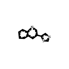 c1ccc2ncc(-c3cncs3)cc2c1